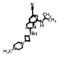 CC(C)Nc1nc(C#N)cc2cnc(N[C@H]3C[C@@H](N4CCN(C)CC4)C3)nc12